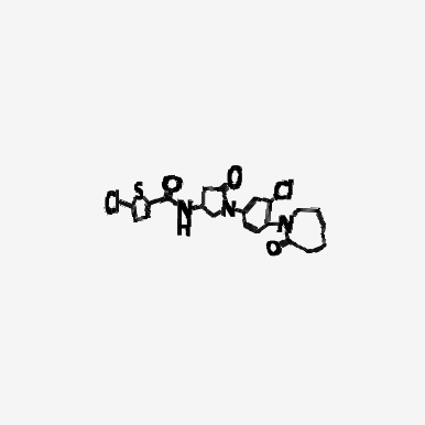 O=C(NC1CC(=O)N(c2ccc(N3CCCCCC3=O)c(Cl)c2)C1)c1ccc(Cl)s1